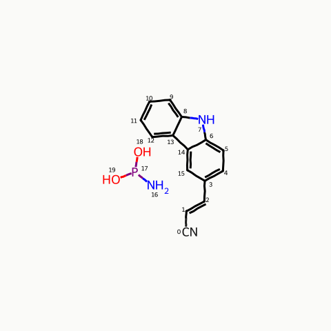 N#CC=Cc1ccc2[nH]c3ccccc3c2c1.NP(O)O